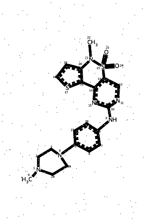 CN1CCN(c2ccc(Nc3ncc4c(n3)-c3sccc3N(C)S4(=O)=O)cc2)CC1